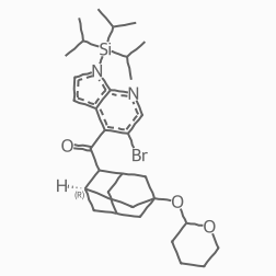 CC(C)[Si](C(C)C)(C(C)C)n1ccc2c(C(=O)C3C4CC5C[C@@H]3CC(OC3CCCCO3)(C5)C4)c(Br)cnc21